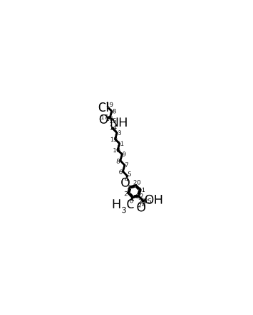 Cc1cc(OCCCCCCCCCCNC(=O)CCl)ccc1C(=O)O